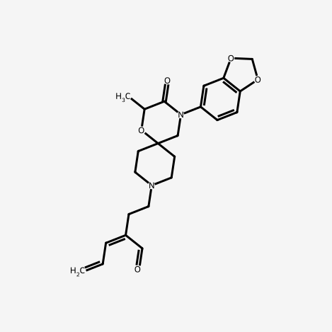 C=C/C=C(\C=O)CCN1CCC2(CC1)CN(c1ccc3c(c1)OCO3)C(=O)C(C)O2